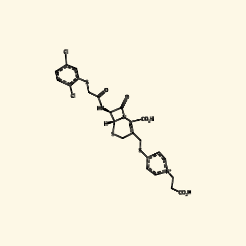 O=C(O)CC[n+]1ccc(SCC2=C(C(=O)O)N3C(=O)[C@H](NC(=O)CSc4cc(Cl)ccc4Cl)[C@H]3SC2)cc1